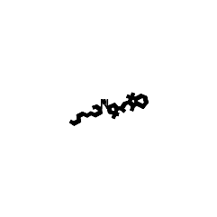 C/C=C\C=C/CC/C=C\C(=C/C)N(C)C1=CC(C)(C)C(/C(C)=C/C2=C(C)c3ccccc3C2(C)C)=C1